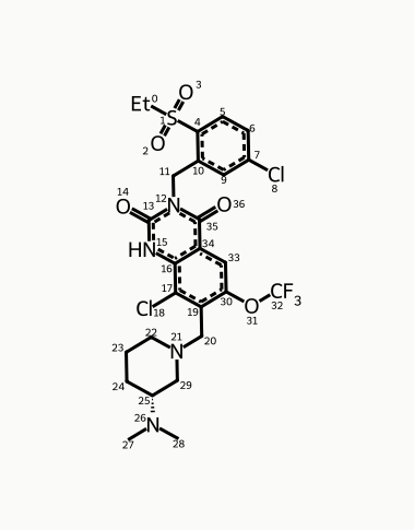 CCS(=O)(=O)c1ccc(Cl)cc1Cn1c(=O)[nH]c2c(Cl)c(CN3CCC[C@@H](N(C)C)C3)c(OC(F)(F)F)cc2c1=O